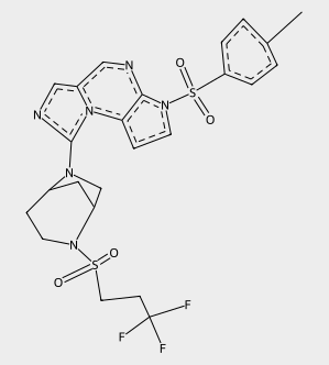 Cc1ccc(S(=O)(=O)n2ccc3c2ncc2cnc(N4CC5CC4CCN5S(=O)(=O)CCC(F)(F)F)n23)cc1